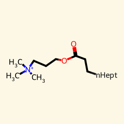 CCCCCCCCCC(=O)OCCC[N+](C)(C)C